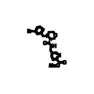 COC(=O)c1ccc(CNC(=O)[C@H]2COCCN2Cc2cccc(Br)c2)cn1